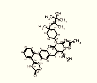 CCCc1c(Cc2ccc(-c3ccccc3-c3noc(=O)[nH]3)cc2)c(=O)n(C2CCC(C)(OC(C)C(C)(C)O)CC2)c2nc(C)nn12.[KH]